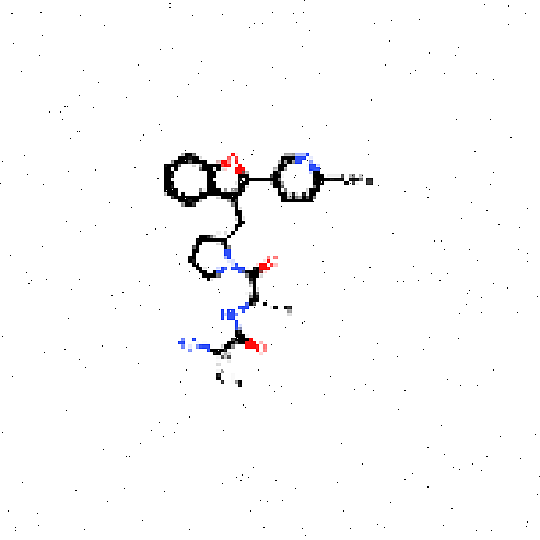 COc1ccc(-c2oc3ccccc3c2C[C@@H]2CCCN2C(=O)[C@@H](NC(=O)[C@H](C)N)C(C)C)cn1